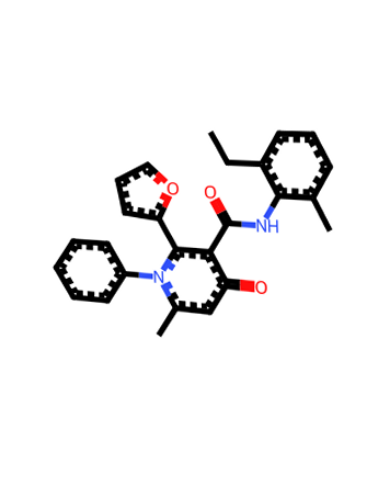 CCc1cccc(C)c1NC(=O)c1c(-c2ccco2)n(-c2ccccc2)c(C)cc1=O